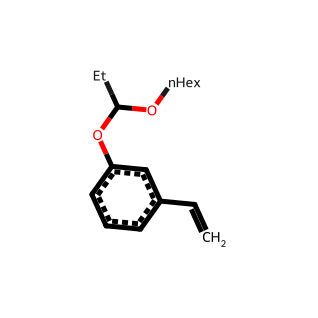 C=Cc1cccc(OC(CC)OCCCCCC)c1